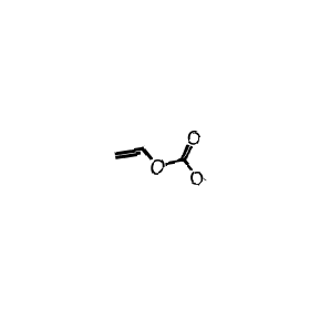 C=COC([O])=O